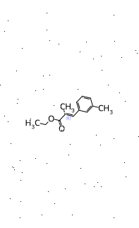 CCOC(=O)/C(C)=C/c1cccc(C)c1